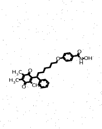 CC1=C(C)C(=O)C(C(CCCCCCOc2ccc(C(=O)NO)cc2)c2ccccc2)=C(C)C1=O